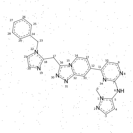 Cn1nccc1Nc1nccc(-c2ccn3c(Cc4nccn4Cc4ccccc4)nnc3c2)n1